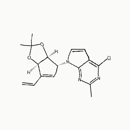 C=CC1=C[C@@H](n2ccc3c(Cl)nc(C)nc32)[C@@H]2OC(C)(C)O[C@H]12